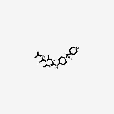 CC/N=C(/NC1CCN(S(=O)(=O)C2CCNCC2)CC1)NC(C)/N=C(/C)NC(C)C